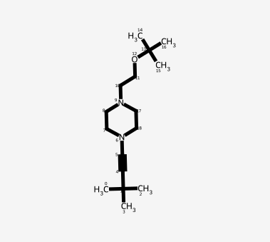 CC(C)(C)C#CN1CCN(CCOC(C)(C)C)CC1